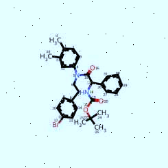 Cc1ccc(N(CCc2ccc(Br)cc2)C(=O)C(NC(=O)OC(C)(C)C)c2ccccc2)cc1C